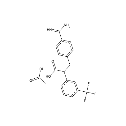 CC(=O)O.N=C(N)c1ccc(CC(C(=O)O)c2cccc(C(F)(F)F)c2)cc1